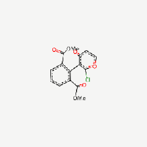 COC(=O)c1cccc(C(=O)OC)c1-c1c(Cl)occc1=O